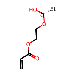 C=CC(=O)OCCO[C@H](O)CC